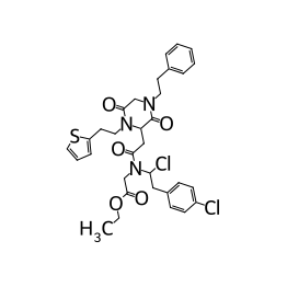 CCOC(=O)CN(C(=O)CC1C(=O)N(CCc2ccccc2)CC(=O)N1CCc1cccs1)C(Cl)Cc1ccc(Cl)cc1